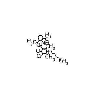 CCCCCCn1c(C)c(Cl)c(=O)c(C(=O)Nc2c(C)cccc2CC)c1C